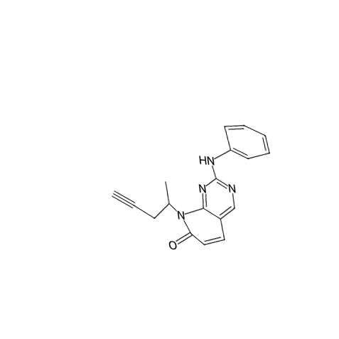 C#CCC(C)n1c(=O)ccc2cnc(Nc3ccccc3)nc21